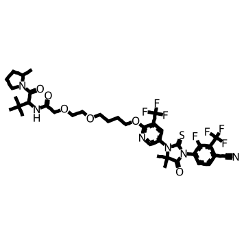 CC1CCCN1C(=O)C(NC(=O)COCCOCCCCOc1ncc(N2C(=S)N(c3ccc(C#N)c(C(F)(F)F)c3F)C(=O)C2(C)C)cc1C(F)(F)F)C(C)(C)C